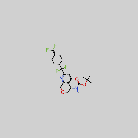 CN(C(=O)OC(C)(C)C)C1COCc2nc(C(F)(F)C3CCC(=C(F)F)CC3)ccc21